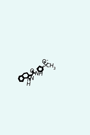 C[S+]([O-])c1ccc(NC(=O)c2n[nH]c3c2CCc2ccccc2-3)cc1